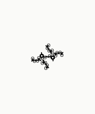 CC(=O)OCOC(=O)CN(CC(=O)OCOC(C)=O)c1ccc(C)cc1OCCOc1cc(C)ccc1N(CC(=O)OCOC(C)=O)CC(=O)OCOC(C)=O